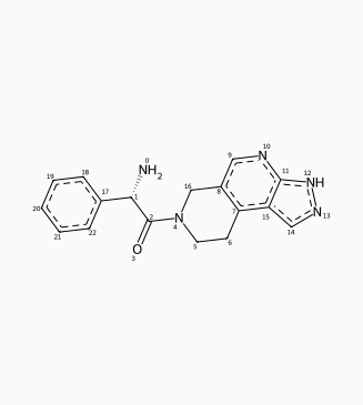 N[C@H](C(=O)N1CCc2c(cnc3[nH]ncc23)C1)c1ccccc1